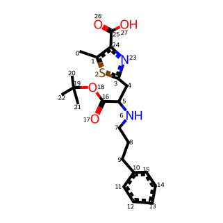 Cc1sc(CC(NCCCc2ccccc2)C(=O)OC(C)(C)C)nc1C(=O)O